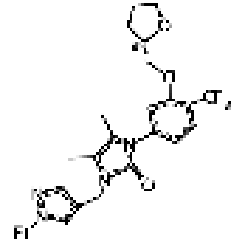 CCn1cc(Cn2c(C)c(C)n(-c3ccc(C(F)(F)F)c(OC[C@@H]4CCCO4)c3)c2=O)cn1